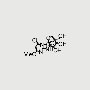 COc1cc(Cl)nc(N[C@H]2[C@H]3OC[C@](CO)(O3)[C@H](O)[C@@H]2O)n1